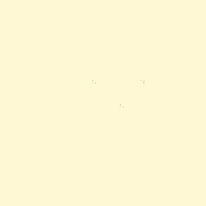 COC(C)(C)c1ncc(N)nc1C